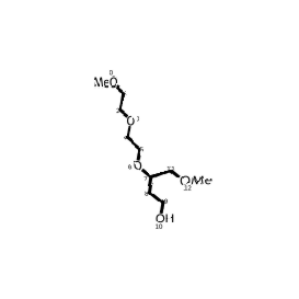 COCCOCCOC(CCO)COC